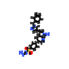 NS(=O)(=O)c1ccc(-c2cnc3[nH]cc(-c4cnn(Cc5ccccc5)c4)c3c2)cc1